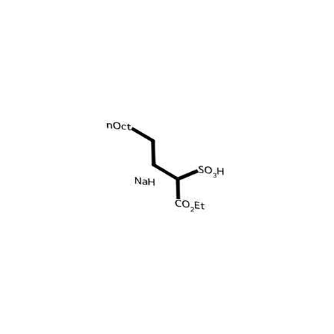 CCCCCCCCCCC(C(=O)OCC)S(=O)(=O)O.[NaH]